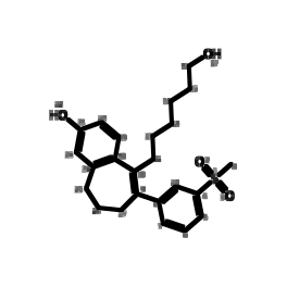 CS(=O)(=O)c1cccc(C2=C(CCCCCCO)c3ccc(O)cc3CCC2)c1